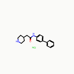 Cl.O=C(CC1CCNCC1)Nc1ccc(-c2ccccc2)cc1